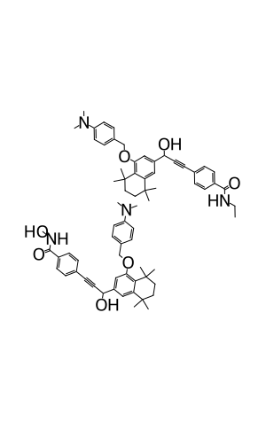 CCNC(=O)c1ccc(C#CC(O)c2cc(OCc3ccc(N(C)C)cc3)c3c(c2)C(C)(C)CCC3(C)C)cc1.CN(C)c1ccc(COc2cc(C(O)C#Cc3ccc(C(=O)NO)cc3)cc3c2C(C)(C)CCC3(C)C)cc1